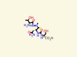 CC(O)[C@@H](N)C(=O)NN(C)C(=S)[C@@H](CC(N)=O)NC(=O)N[C@H](CO)C(=O)O